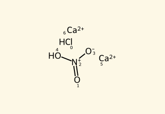 Cl.O=[N+]([O-])O.[Ca+2].[Ca+2]